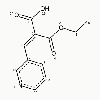 CCOC(=O)C(=Cc1cccnc1)C(=O)O